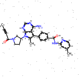 CC#CC(=O)N1CCC(n2c(C)c(-c3ccc(C(=O)Nc4cc(C)ccn4)cc3)c3c(N)ncnc32)C1